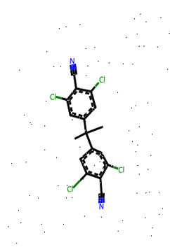 CC(C)(c1cc(Cl)c(C#N)c(Cl)c1)c1cc(Cl)c(C#N)c(Cl)c1